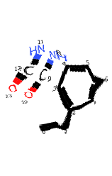 C=Cc1ccccc1.N=C=O.N=C=O